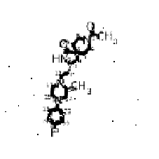 CC(=O)N1CCC2(CC1)C[C@H](CCN1CCN(c3ccc(F)cc3)C[C@@H]1C)NC2=O